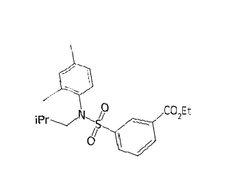 CCOC(=O)c1cccc(S(=O)(=O)N(CC(C)C)c2ccc(C)cc2C)c1